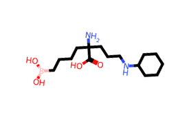 NC(CCCCB(O)O)(CCCNC1CCCCC1)C(=O)O